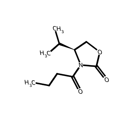 CCCC(=O)N1C(=O)OC[C@@H]1C(C)C